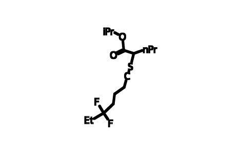 CCCC(SCCCCC(F)(F)CC)C(=O)OC(C)C